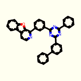 c1ccc(-c2cccc(-c3nc(-c4ccccc4)nc(-c4cccc(-c5nccc6c5oc5ccccc56)c4)n3)c2)cc1